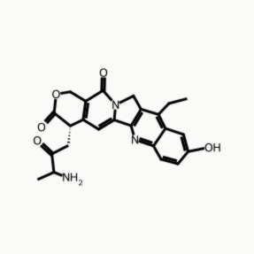 CCc1c2c(nc3ccc(O)cc13)-c1cc3c(c(=O)n1C2)COC(=O)[C@H]3CC(=O)C(C)N